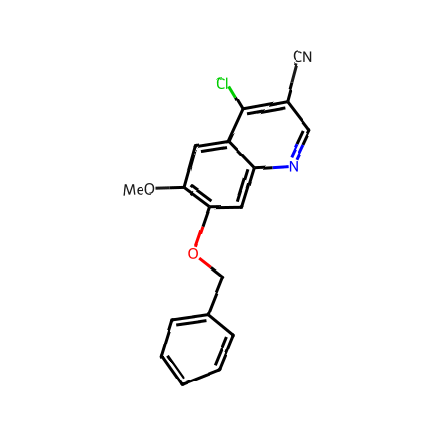 COc1cc2c(Cl)c([14C]#N)cnc2cc1OCc1ccccc1